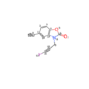 CC(C)(C)c1ccc2oc(=O)n(CC#CI)c2c1